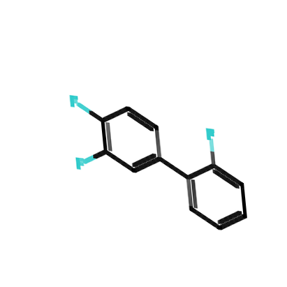 Fc1ccc(-c2ccccc2F)cc1F